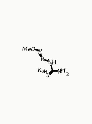 COP=NNC(N)=S.[NaH]